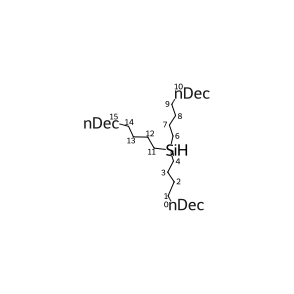 CCCCCCCCCCCCCC[SiH](CCCCCCCCCCCCCC)CCCCCCCCCCCCCC